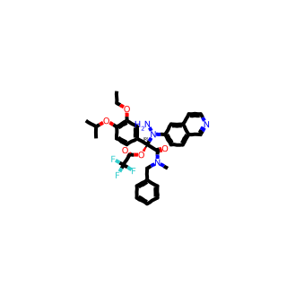 CCOc1cc([C@@](OC(=O)C(F)(F)F)(C(=O)N(C)Cc2ccccc2)N(N)c2ccc3cnccc3c2)ccc1OC(C)C